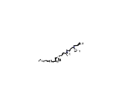 CCC(C)C/C=C(\C)CC/C=C(\C)CCCn1cc(COCCCC(C)C)nn1